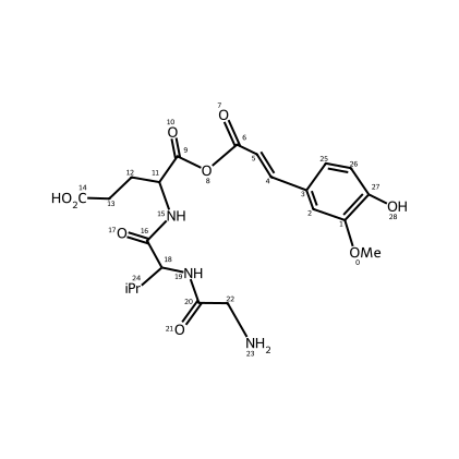 COc1cc(/C=C/C(=O)OC(=O)C(CCC(=O)O)NC(=O)C(NC(=O)CN)C(C)C)ccc1O